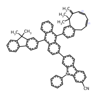 C=C1/C=C\C=C/Cc2ccc(-c3c4ccccc4c(-c4ccc5c(c4)C(C)(C)c4ccccc4-5)c4ccc(-c5ccc6c7ccc(C#N)cc7n(-c7ccccc7)c6c5)cc34)cc2C1(C)C